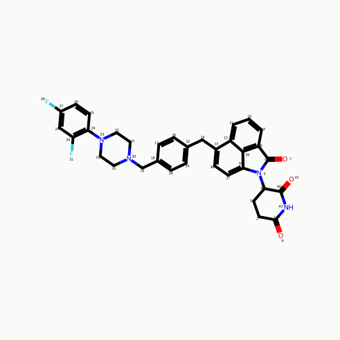 O=C1CCC(N2C(=O)c3cccc4c(Cc5ccc(CN6CCN(c7ccc(F)cc7F)CC6)cc5)ccc2c34)C(=O)N1